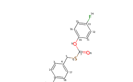 CC(=O)Oc1ccc(CSC(=O)Oc2ccc(F)cc2)cc1